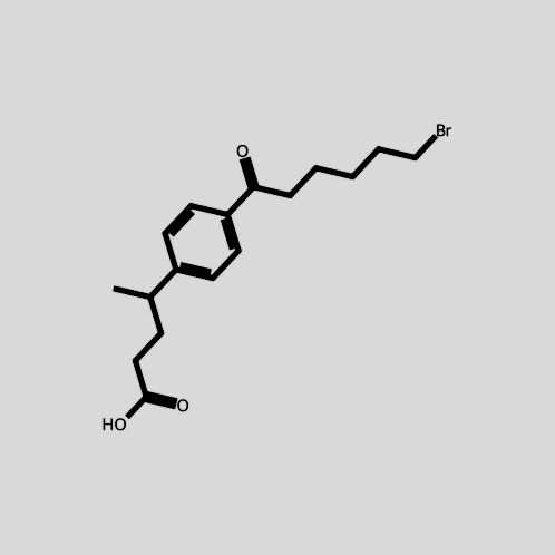 CC(CCC(=O)O)c1ccc(C(=O)CCCCCBr)cc1